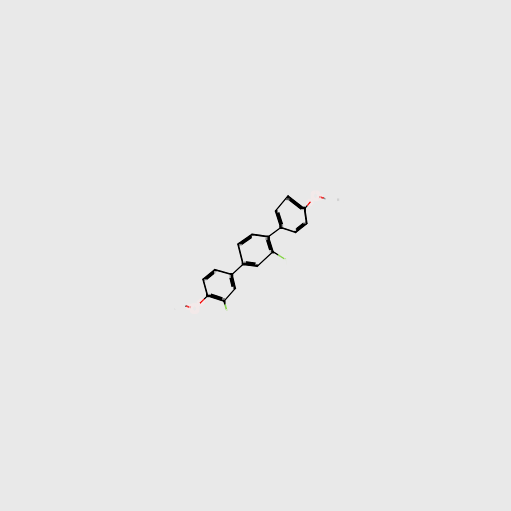 CCCCOc1ccc(-c2ccc(-c3ccc(OC(F)(F)F)c(F)c3)cc2F)cc1